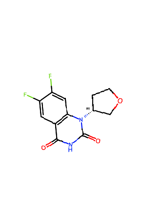 O=c1[nH]c(=O)n([C@@H]2CCOC2)c2cc(F)c(F)cc12